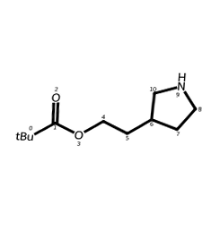 CC(C)(C)C(=O)OCCC1CCNC1